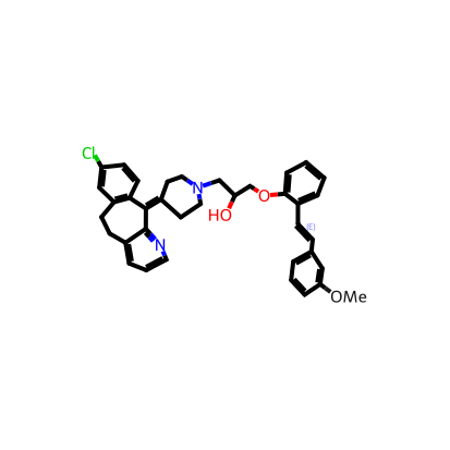 COc1cccc(/C=C/c2ccccc2OCC(O)CN2CCC(=C3c4ccc(Cl)cc4CCc4cccnc43)CC2)c1